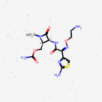 NCCO/N=C(\C(=O)N[C@@H]1C(=O)N(S(=O)(=O)O)[C@@H]1COC(N)=O)c1csc(N)n1